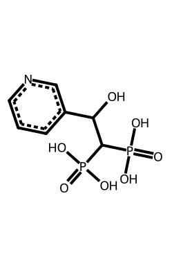 O=P(O)(O)C(C(O)c1cccnc1)P(=O)(O)O